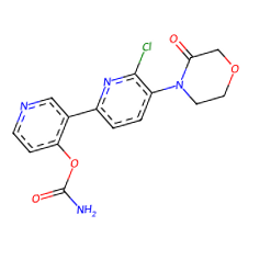 NC(=O)Oc1ccncc1-c1ccc(N2CCOCC2=O)c(Cl)n1